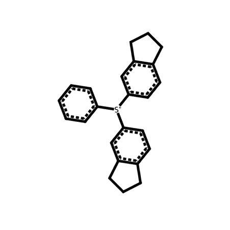 c1ccc([S+](c2ccc3c(c2)CCC3)c2ccc3c(c2)CCC3)cc1